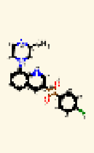 C[C@H]1CN(c2cccc3cc(S(=O)(=O)c4ccc(F)cc4)cnc23)CCN1